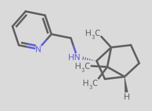 CC1(C)[C@@H]2CCC1(C)[C@@H](NCc1ccccn1)C2